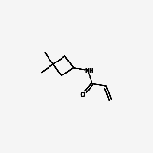 C=CC(=O)NC1CC(C)(C)C1